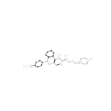 CN1CCN(CCCNC2N=CC3=C(N2)c2ccccc2C(c2ccc(N)cc2)C3)CC1